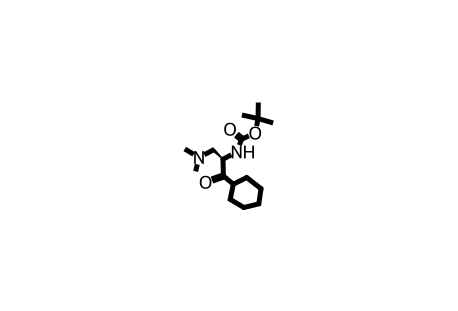 CN(C)C[C@@H](NC(=O)OC(C)(C)C)C(=O)C1CCCCC1